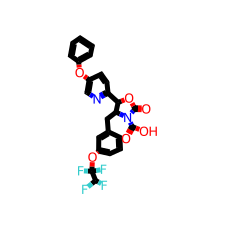 O=C(O)N1C(=O)OC(c2ccc(Oc3ccccc3)cn2)C1Cc1cccc(OC(F)(F)C(F)F)c1